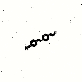 N#Cc1ccc(CC[C@H]2CC[C@H](C=CF)CC2)cc1